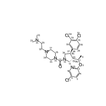 C[C@@H](Oc1ccc(Cl)cn1)[C@@H]1CN(C(=O)N2CCN(CCN(C)C)CC2)C[C@H]1c1ccc(Cl)c(Cl)c1